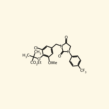 CCOC(=O)C(C)(C)Oc1c(Cl)cc(CN2C(=O)CN(c3ccc(C(F)(F)F)cc3)C2=O)cc1OC